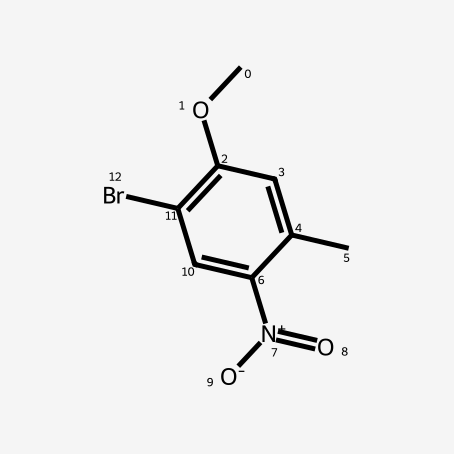 COc1cc(C)c([N+](=O)[O-])cc1Br